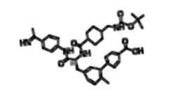 CC(=N)c1ccc(NC(=O)[C@H](Cc2ccc(C)c(-c3ccc(C(=O)O)cc3)c2)NC(=O)C2CCC(CNC(=O)OC(C)(C)C)CC2)cc1